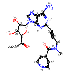 CNC(=O)C1OC(n2cnc3c(N)nc(C#CCN(C(=O)c4ccncc4)C(C)C)nc32)[C@H](O)[C@@H]1O